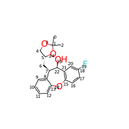 CC1(C)OC[C@@H](C[C@@H]2c3ccccc3Oc3ccc(F)cc3[C@@H]2O)O1